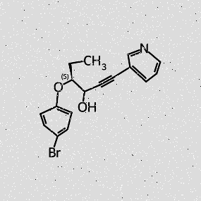 CC[C@H](Oc1ccc(Br)cc1)C(O)C#Cc1cccnc1